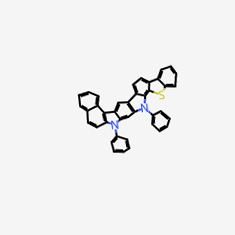 c1ccc(-n2c3cc4c(cc3c3c5ccccc5ccc32)c2ccc3c5ccccc5sc3c2n4-c2ccccc2)cc1